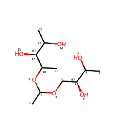 CC(OC[C@H](O)C(C)O)OC(C)[C@@H](O)C(C)O